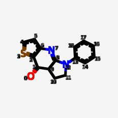 O=C1c2sccc2N=C2C1CCN2c1ccccc1